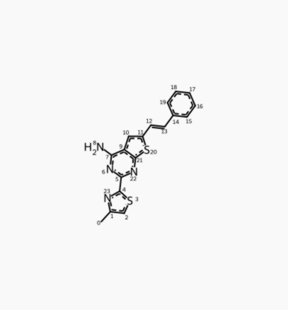 Cc1csc(-c2nc(N)c3cc(C=Cc4ccccc4)sc3n2)n1